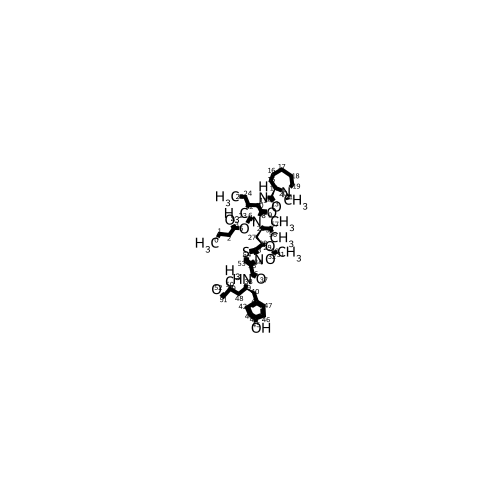 CCCC(=O)OCN(C(=O)[C@@H](NC(=O)[C@H]1CCCCCN1C)C(C)CC)[C@H](C[C@@H](OC(C)=O)c1nc(C(=O)N[C@@H](Cc2ccc(O)cc2)C[C@H](C)C=O)cs1)C(C)C